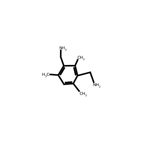 Cc1cc(C)c(CN)c(C)c1CN